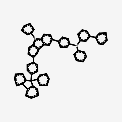 c1ccc(-c2cccc(N(c3ccccc3)c3ccc(-c4ccc5c(c4)c4cc(-c6ccc(C7(c8ccccc8)c8ccccc8-c8ccccc87)cc6)ccc4n5-c4ccccc4)cc3)c2)cc1